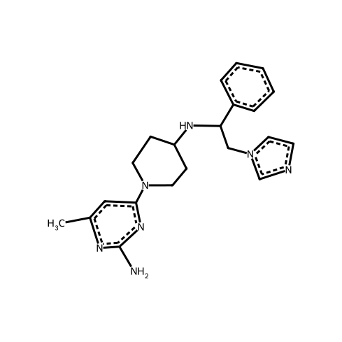 Cc1cc(N2CCC(NC(Cn3ccnc3)c3ccccc3)CC2)nc(N)n1